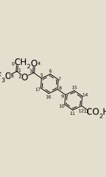 C=C(OC(=O)c1ccc(-c2ccc(C(=O)O)cc2)cc1)C(F)(F)F